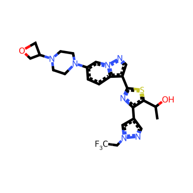 CC(O)c1sc(-c2cnn3cc(N4CCN(C5COC5)CC4)ccc23)nc1-c1cnn(CC(F)(F)F)c1